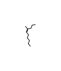 CCCCCC=C(C)CCC